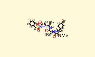 CNC(C(=O)NC(C(=O)N(C)C(C=C(C)C(=O)NS(=O)(=O)Cc1ccccc1)C(C)C)C(C)(C)C)C(C)(C)c1ccc(Br)cc1